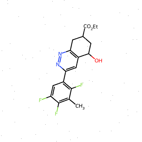 CCOC(=O)C1Cc2nnc(-c3cc(F)c(F)c(C)c3F)cc2C(O)C1